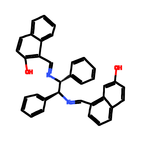 Oc1ccc2cccc(/C=N/[C@@H](c3ccccc3)[C@H](/N=C/c3c(O)ccc4ccccc34)c3ccccc3)c2c1